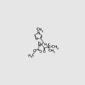 COC(=O)N[C@@H](Cc1cn(C)cn1)C(=O)C(C)(C)C